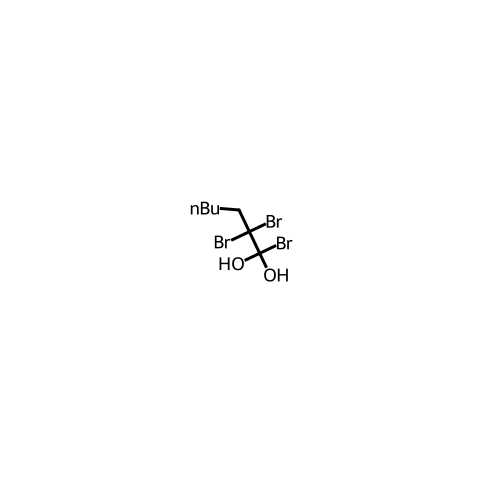 CCCCCC(Br)(Br)C(O)(O)Br